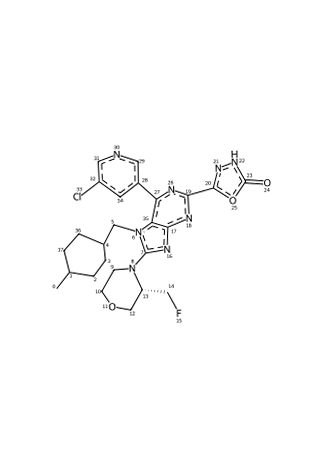 CC1CCC(Cn2c(N3CCOC[C@H]3CF)nc3nc(-c4n[nH]c(=O)o4)nc(-c4cncc(Cl)c4)c32)CC1